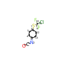 O=C=Nc1ccc(SC(F)(F)Cl)cc1